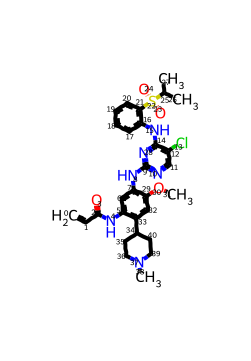 C=CC(=O)Nc1cc(Nc2ncc(Cl)c(Nc3ccccc3S(=O)(=O)C(C)C)n2)c(OC)cc1C1CCN(C)CC1